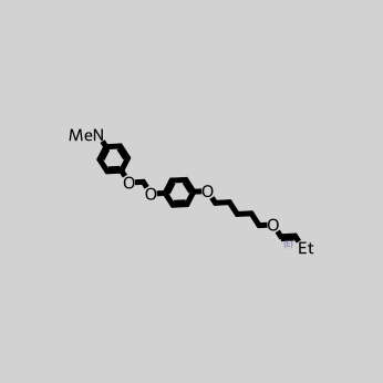 CC/C=C/OCCCCCOc1ccc(OCOc2ccc(NC)cc2)cc1